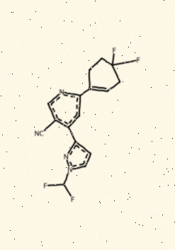 N#Cc1cnc(C2=CCC(F)(F)CC2)cc1-c1ccn(C(F)F)n1